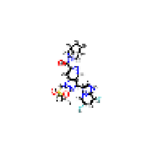 CS(=O)(=O)Cn1nc(-c2cnc3c(F)cc(F)cn23)c2cnc(C(=O)N3CC4CCC(C4)C3)cc21